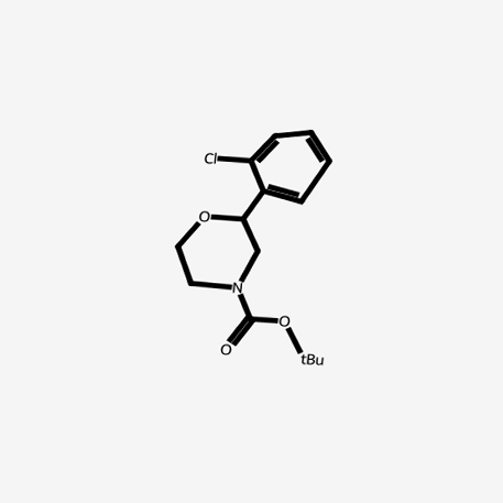 CC(C)(C)OC(=O)N1CCOC(c2ccccc2Cl)C1